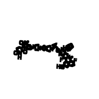 CCc1c(F)ccc2cc(O)cc(-c3ncc4c(N5CC6CCC(C5)N6)nc(OCC5(CN6CCC7(CC6)CC(N6CCN(c8ccc9c(c8)C(C)(C)C(=O)N9C8CCC(=O)NC8=O)CC6)C7)CC5)nc4c3F)c12